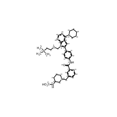 C[Si](C)(C)CCOCn1c(-c2ccc(NC(=O)c3cc(CN4CCCC(NC(=O)O)C4)ccn3)cc2)cc2c(N3CCCCC3)ncnc21